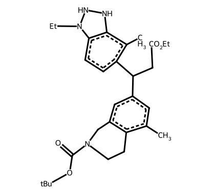 CCOC(=O)CC(c1cc(C)c2c(c1)CN(C(=O)OC(C)(C)C)CC2)c1ccc2c(c1C)NNN2CC